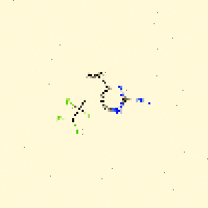 COc1nc(N)ncc1CC(F)(F)C(F)F